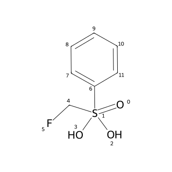 O=S(O)(O)(CF)c1ccccc1